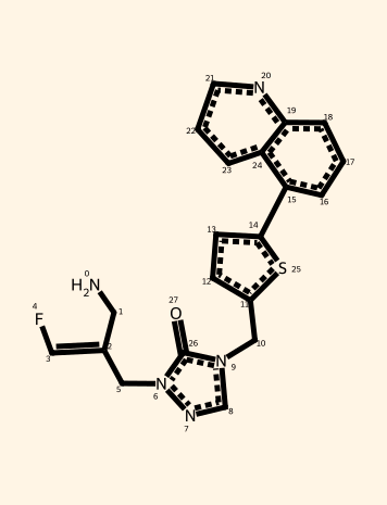 NC/C(=C\F)Cn1ncn(Cc2ccc(-c3cccc4ncccc34)s2)c1=O